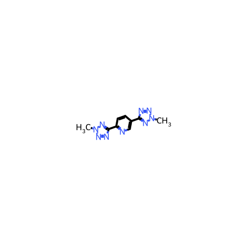 Cn1nnc(-c2ccc(-c3nnn(C)n3)nc2)n1